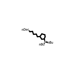 CCCCCCCCCCCCCCCC1CCCC(N(CCCC)CCCC)C1